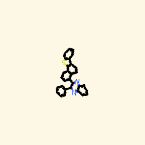 c1ccc(-c2nc3ccccc3nc2-c2cccc3c2ccc2c4ccccc4sc32)cc1